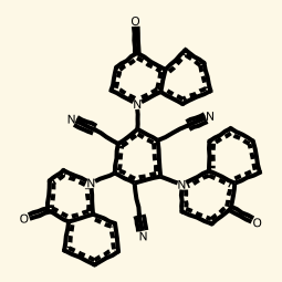 N#Cc1c(-n2ccc(=O)c3ccccc32)c(C#N)c(-n2ccc(=O)c3ccccc32)c(C#N)c1-n1ccc(=O)c2ccccc21